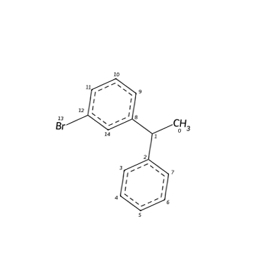 CC(c1ccccc1)c1cccc(Br)c1